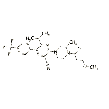 COCCC(=O)N1CCN(c2nc(C(C)C)c(-c3ccc(C(F)(F)F)cc3)cc2C#N)CC1C